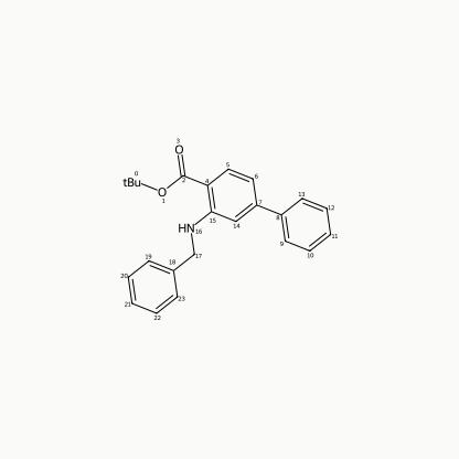 CC(C)(C)OC(=O)c1ccc(-c2ccccc2)cc1NCc1ccccc1